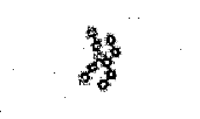 c1ccc(-c2cccc(-c3cc(-c4cccc(-c5ccccc5)c4)c4nc(-c5ccc(-c6ccncc6)cc5)nc(-c5ccc(-c6ccncc6)cc5)c4c3)c2)cc1